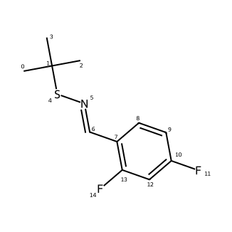 CC(C)(C)SN=Cc1ccc(F)cc1F